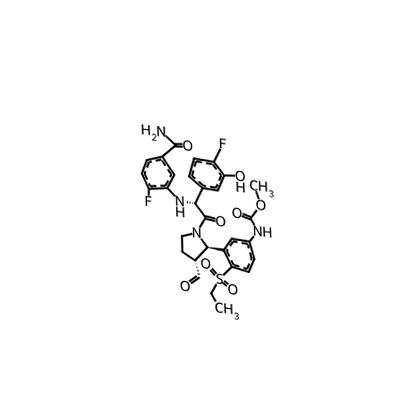 CCS(=O)(=O)c1ccc(NC(=O)OC)cc1[C@H]1[C@H](C=O)CCN1C(=O)[C@H](Nc1cc(C(N)=O)ccc1F)c1ccc(F)c(O)c1